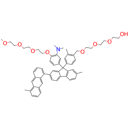 COCCOCCOCCOc1ccc(C2(c3ccc(COCCOCCOCCO)c(C)c3)c3cc(C)ccc3-c3ccc(-c4cccc5cc6c(C)cccc6cc45)cc32)cc1N(C)C